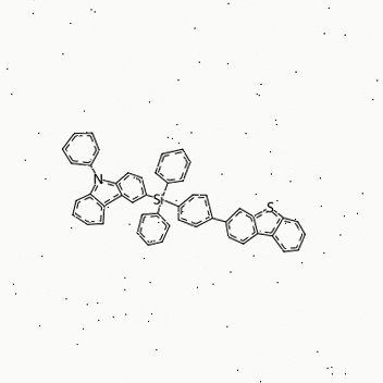 c1ccc(-n2c3ccccc3c3cc([Si](c4ccccc4)(c4ccccc4)c4ccc(-c5ccc6c(c5)sc5ccccc56)cc4)ccc32)cc1